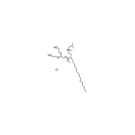 CCCCCCCCCCCCCCCC(CC[N+](C)(C)CC(C)C)[SiH2]OCC(OCCO)OCCO.[Cl-]